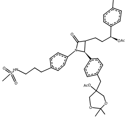 CC(=O)O[C@@H](CCC1C(=O)N(c2ccc(CCCNS(C)(=O)=O)cc2)[C@@H]1c1ccc(CC2(OC(C)=O)COC(C)(C)OC2)cc1)c1ccc(F)cc1